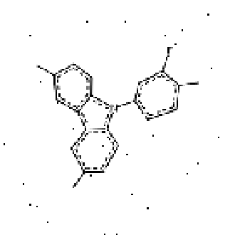 Cc1ccc2c(c1)c1cc(C)ccc1n2-c1ccc(C)c(F)c1